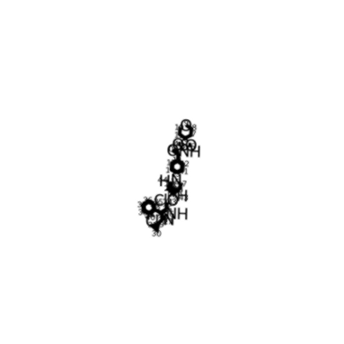 O=C(NS(=O)(=O)C1CCOCC1)c1ccc(N2C[C@@H]3C[C@H]2C[C@H]3OCc2[nH]nc(C3CC3)c2-c2c(Cl)cccc2Cl)cc1